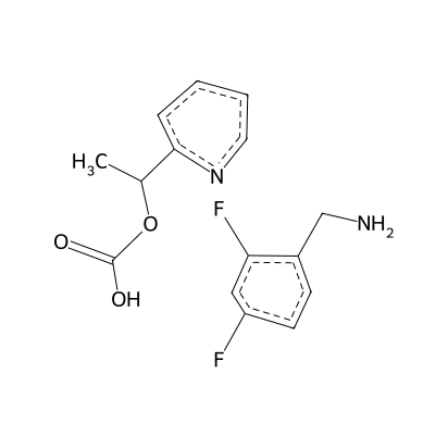 CC(OC(=O)O)c1ccccn1.NCc1ccc(F)cc1F